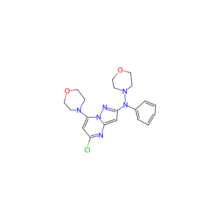 Clc1cc(N2CCOCC2)n2nc(N(c3ccccc3)N3CCOCC3)cc2n1